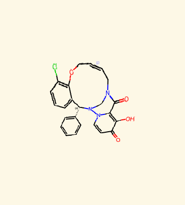 O=C1c2c(O)c(=O)ccn2N2CN1C/C=C\COc1c(Cl)cccc1[C@H]2c1ccccc1